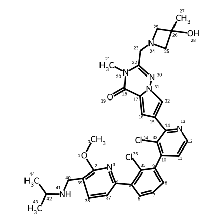 COc1nc(-c2cccc(-c3ccnc(-c4cc5c(=O)n(C)c(CN6CC(C)(O)C6)nn5c4)c3Cl)c2Cl)ccc1CNC(C)C